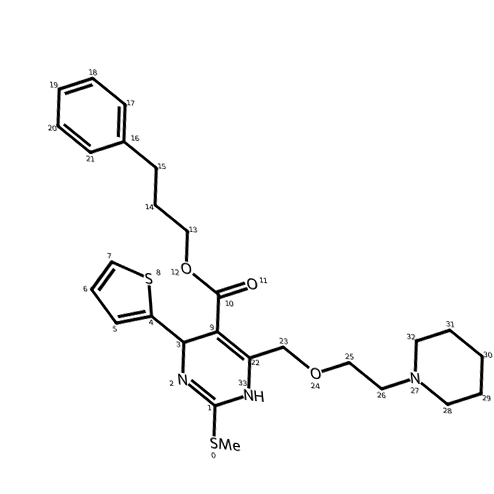 CSC1=NC(c2cccs2)C(C(=O)OCCCc2ccccc2)=C(COCCN2CCCCC2)N1